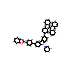 c1ccc(-n2c3ccc(-c4ccc(-c5nc6ccccc6o5)cc4)cc3c3cc(-c4ccc5c(c4)C4(c6ccccc6-c6ccccc64)c4ccccc4-5)ccc32)cc1